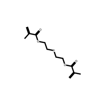 C=C(C)C(=O)OCC[P]CCOC(=O)C(=C)C